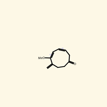 C=C1CCC(=O)C/C=C\C=C/1OC